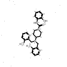 Cc1cccnc1CN(Cc1ncccc1C)C1CCN(C(=O)Nc2ccccc2O)CC1